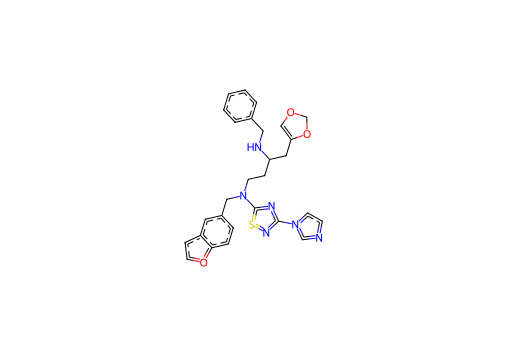 C1=C(CC(CCN(Cc2ccc3occc3c2)c2nc(-n3ccnc3)ns2)NCc2ccccc2)OCO1